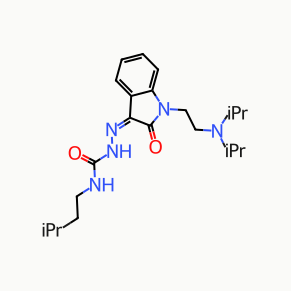 CC(C)CCNC(=O)NN=C1C(=O)N(CCN(C(C)C)C(C)C)c2ccccc21